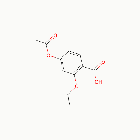 CCOc1cc(OC(C)=O)ccc1C(=O)O